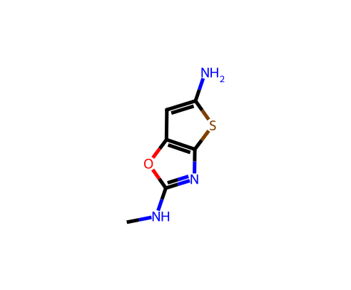 CNc1nc2sc(N)cc2o1